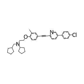 Cc1cc(C#Cc2ccc(-c3ccc(Cl)cc3)cn2)ccc1OCCN(CC1CCCC1)C1CCCC1